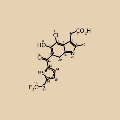 CC1=C(CC(=O)O)C2=C(Cl)C(O)=C(C(=O)c3ccc(SC(F)(F)F)s3)CC2=N1